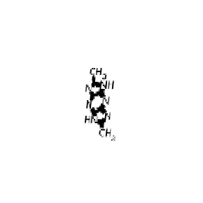 Cc1nc2nc3[nH]c(C)nc3nc2[nH]1